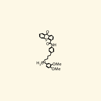 COc1ccc(N(C)CCCCc2ccc(NC(=O)c3cccc4c(=O)c5ccccc5sc34)cc2)cc1OC